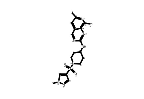 Cc1cc2cnc(NC3CCN(S(=O)(=O)c4cnn(C)c4)CC3)nc2c(Cl)n1